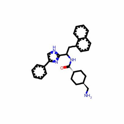 NC[C@H]1CC[C@H](C(=O)NC(Cc2cccc3ccccc23)c2nc(-c3ccccc3)c[nH]2)CC1